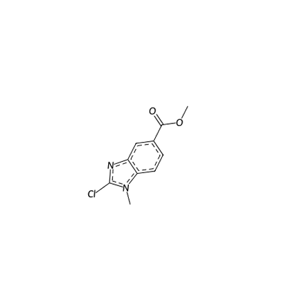 COC(=O)c1ccc2c(c1)nc(Cl)n2C